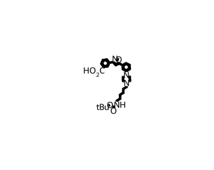 CC(C)(C)OC(=O)NCCCCCCN1CCN(c2cccc(-c3cc(-c4cccc(C(=O)O)c4)no3)c2)CC1